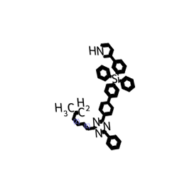 C=C(C)/C=C\C=C\c1nc(C2=CCC(c3ccc([Si](c4ccccc4)(c4ccccc4)c4cccc(C5=CC=CNC5)c4)cc3)C=C2)nc(-c2ccccc2)n1